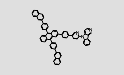 c1ccc2cc(-c3ccc(-c4c5ccccc5c(-c5ccc(-c6ccc7ccccc7c6)cc5)c5cc(-c6ccc(-c7ccc(-n8c9ccccc9c9cnccc98)nc7)cc6)ccc45)cc3)ccc2c1